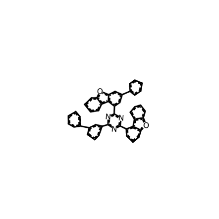 c1ccc(-c2cccc(-c3nc(-c4cccc5oc6ccccc6c45)nc(-c4cc(-c5ccccc5)cc5oc6ccccc6c45)n3)c2)cc1